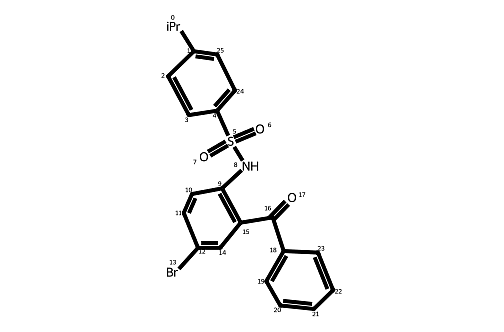 CC(C)c1ccc(S(=O)(=O)Nc2ccc(Br)cc2C(=O)c2ccccc2)cc1